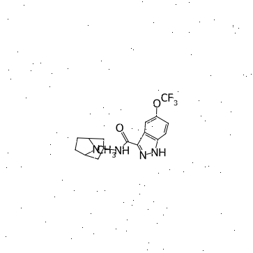 CN1C2CCC1CC(NC(=O)c1n[nH]c3ccc(OC(F)(F)F)cc13)C2